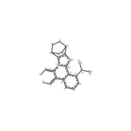 C/C=c1\c(=C/C)n2c3c(nc2c2c(C(CC)CC)cccc12)C1CCC3CC1